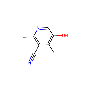 Cc1ncc(O)c(C)c1C#N